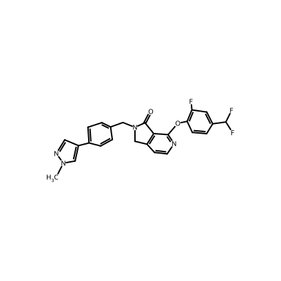 Cn1cc(-c2ccc(CN3Cc4ccnc(Oc5ccc(C(F)F)cc5F)c4C3=O)cc2)cn1